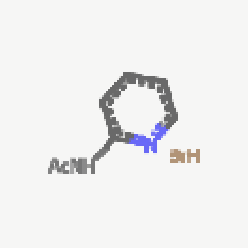 Br.CC(=O)Nc1ccccn1